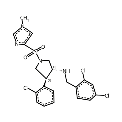 Cn1cnc(S(=O)(=O)N2C[C@H](NCc3ccc(Cl)cc3Cl)[C@@H](c3ccccc3Cl)C2)c1